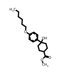 CCCCCCOc1ccc(C2(O)CCC(C(=O)OC)CC2)cc1